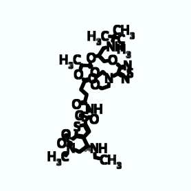 CCN[C@@H]1CN(C)S(=O)(=O)c2sc(S(=O)(=O)NC(=O)CCC(=O)OC(C)C(=O)OC(CNC(C)(C)C)COc3nsnc3N3CCOCC3)cc21